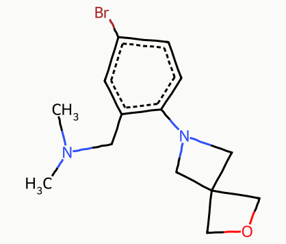 CN(C)Cc1cc(Br)ccc1N1CC2(COC2)C1